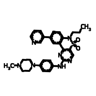 CCCN1c2ccc(-c3cccnc3)cc2-c2nc(Nc3ccc(N4CCN(C)CC4)cc3)ncc2S1(=O)=O